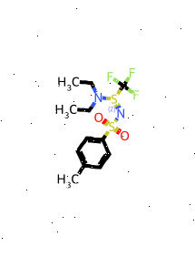 CCN(CC)/S(=N\S(=O)(=O)c1ccc(C)cc1)C(F)(F)F